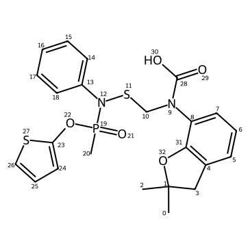 CC1(C)Cc2cccc(N(CSN(c3ccccc3)P(C)(=O)Oc3cccs3)C(=O)O)c2O1